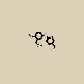 CSc1ccc(Oc2ccc(CS)cn2)cc1CO